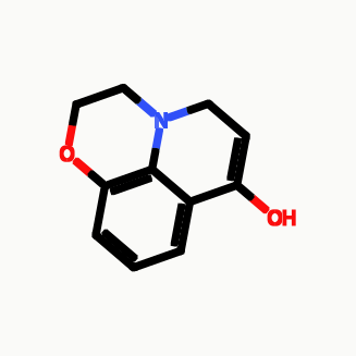 OC1=CCN2CCOc3cccc1c32